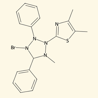 Cc1nc(N2N(C)C(c3ccccc3)N(Br)N2c2ccccc2)sc1C